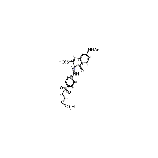 CC(=O)Nc1ccc2c(c1)C=C(S(=O)(=O)O)/C(=N/Nc1ccc(S(=O)(=O)CCOS(=O)(=O)O)cc1)C2=O